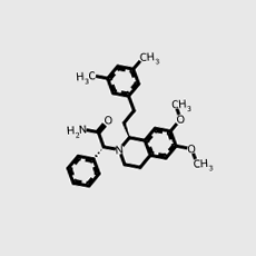 COc1cc2c(cc1OC)[C@H](CCc1cc(C)cc(C)c1)N([C@@H](C(N)=O)c1ccccc1)CC2